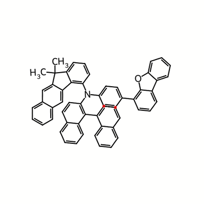 CC1(C)c2cc3ccccc3cc2-c2c(N(c3ccc(-c4cccc5c4oc4ccccc45)cc3)c3ccc4ccccc4c3-c3cccc4ccccc34)cccc21